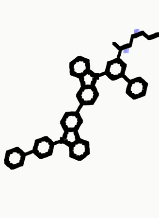 C=C/C=C\C=C(/C)c1cc(-c2ccccc2)cc(-n2c3ccccc3c3cc(-c4ccc5c(c4)c4ccccc4n5-c4ccc(-c5ccccc5)cc4)ccc32)c1